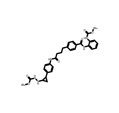 CC(C)(C)OC(=O)NNC1CC1c1ccc(NC(=O)CCCc2ccc(C(=O)Nc3ccccc3NC(=O)OC(C)(C)C)cc2)cc1